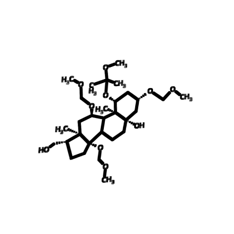 COCO[C@H]1C[C@@H](OC(C)(C)OC)[C@]2(C)C3C(CC[C@]2(O)C1)[C@@]1(OCOC)CC[C@H](CO)[C@@]1(C)C[C@H]3OCOC